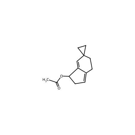 CC(=O)OC1CC=C2CCC3(C=C21)CC3